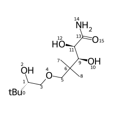 CC(C)(C)[C@H](O)COCC(C)(C)[C@H](O)[C@@H](O)C(N)=O